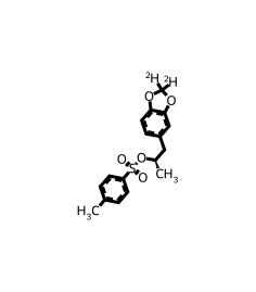 [2H]C1([2H])Oc2ccc(C[C@@H](C)OS(=O)(=O)c3ccc(C)cc3)cc2O1